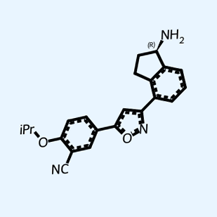 CC(C)Oc1ccc(-c2cc(-c3cccc4c3CC[C@H]4N)no2)cc1C#N